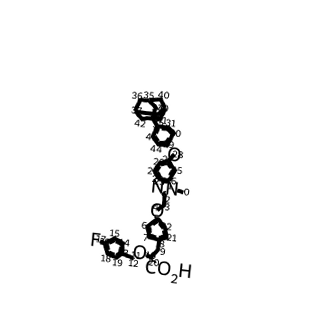 Cn1c(COc2ccc(CC(OCc3ccc(F)cc3)C(=O)O)cc2)nc2ccc(Oc3ccc(C45CC6CC(CC(C6)C4)C5)cc3)cc21